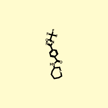 O=C(NC1CCCCCCC1)c1ccc(-c2noc(C(F)(F)F)n2)cc1